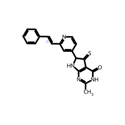 Cc1nc2c(c(=O)[nH]1)C(=S)C(c1ccnc(/C=C/c3ccccc3)c1)N2